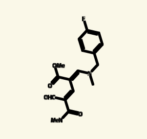 CNC(=O)/C(C=O)=C/C(=C\N(C)Cc1ccc(F)cc1)C(=O)OC